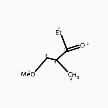 CCC(=O)C(C)COC